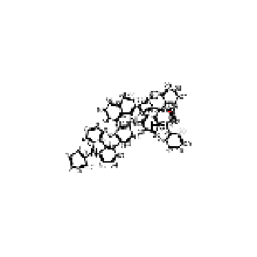 c1ccc(-n2c3ccccc3c3c(-c4ccc(N(c5ccc6c(c5)C5(c7ccccc7Oc7ccccc75)c5ccccc5[SiH]6c5ccccc5)c5cccc6ccccc56)cc4)cccc32)cc1